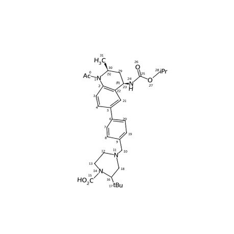 CC(=O)N1c2ccc(-c3ccc(CN4CCN(C(=O)O)C(C(C)(C)C)C4)cc3)cc2[C@H](NC(=O)OC(C)C)C[C@@H]1C